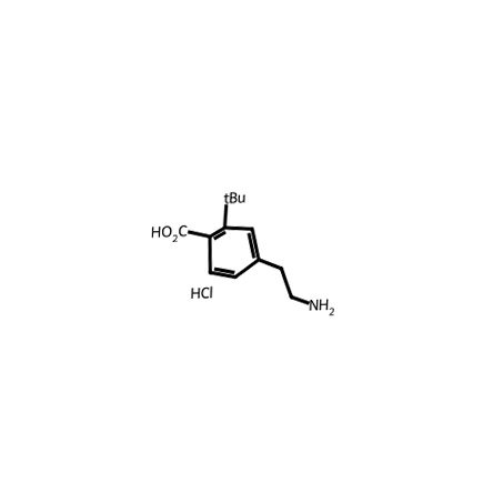 CC(C)(C)c1cc(CCN)ccc1C(=O)O.Cl